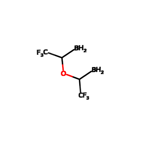 BC(OC(B)C(F)(F)F)C(F)(F)F